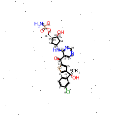 C[C@](O)(c1cccc(Cl)c1)c1csc(C(=O)c2cncnc2N[C@@H]2C[C@H](COS(N)(=O)=O)[C@@H](O)C2)c1